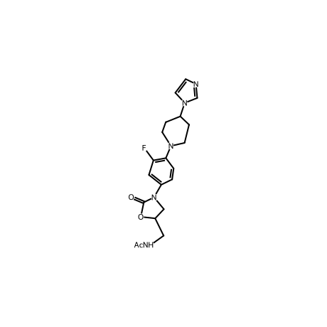 CC(=O)NCC1CN(c2ccc(N3CCC(n4ccnc4)CC3)c(F)c2)C(=O)O1